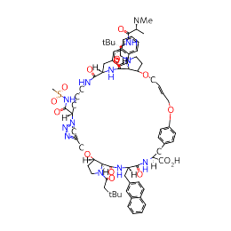 CN[C@@H](C)C(=O)N[C@H](C(=O)N1CCC2OC/C=C/COc3ccc(cc3)C[C@@H](C(=O)O)NC(=O)[C@H](Cc3ccc4ccccc4c3)NC(=O)[C@@H]3[C@H](CCN3C(=O)CC(C)(C)C)OCc3cn(nn3)[C@H](C(=O)NS(C)(=O)=O)CCCNC(=O)[C@H](Cc3ccc4ccccc4c3)NC(=O)[C@H]21)C(C)(C)C